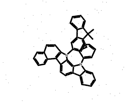 CC1(C)c2ccccc2-c2cc(-n3c4ccc5ccccc5c4c4ccc5c6ccccc6n(-c6ccccc6)c5c43)ccc21